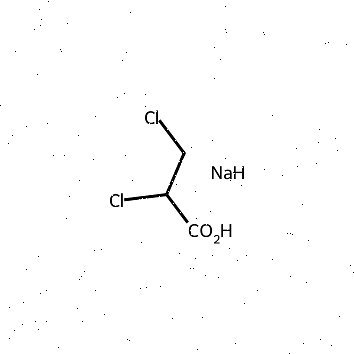 O=C(O)C(Cl)CCl.[NaH]